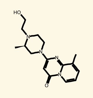 Cc1cccn2c(=O)cc(N3CCN(CCO)[C@H](C)C3)nc12